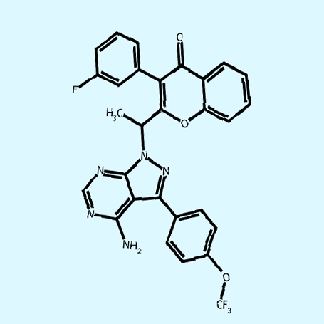 CC(c1oc2ccccc2c(=O)c1-c1cccc(F)c1)n1nc(-c2ccc(OC(F)(F)F)cc2)c2c(N)ncnc21